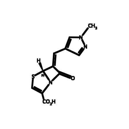 Cn1cc(C=C2C(=O)N3C(C(=O)O)=CS[C@H]23)cn1